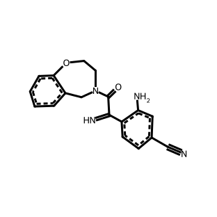 N#Cc1ccc(C(=N)C(=O)N2CCOc3ccccc3C2)c(N)c1